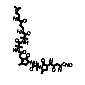 CC1CC(NC(=O)C(C)(C)N2C(=O)C(NC(=O)CNC=O)CC2C)C(=O)N1CC(=O)NC(C)(C)C(=O)NC(C)(C)C(=O)NCCC(=O)NCCN(C)C